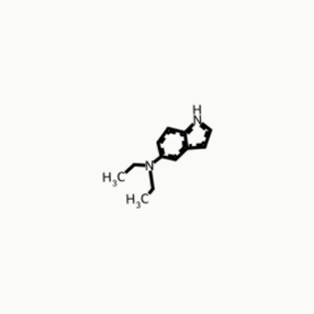 CCN(CC)c1ccc2[nH]ccc2c1